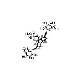 CS(=O)(=O)N1CCC2(CC1)c1cc(C#C[C@H]3O[C@H](CO)[C@@H](O)[C@H](O)[C@@H]3O)ccc1-c1ccc(C#C[C@H]3O[C@H](CO)[C@@H](O)[C@H](O)[C@@H]3O)cc12